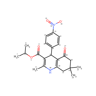 CC1=C(C(=O)OC(C)C)C(c2ccc([N+](=O)[O-])cc2)C2=C(CC(C)(C)CC2=O)N1